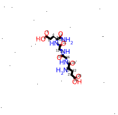 NC(=O)[C@H](CCC(=O)O)NC(=O)CNC(=O)CNC(=O)[C@@H](N)CCC(=O)O